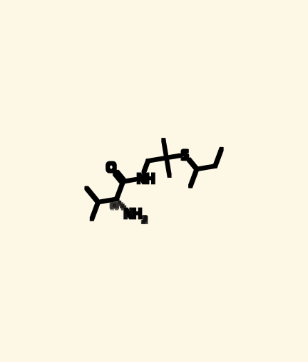 CCC(C)SC(C)(C)CNC(=O)[C@H](N)C(C)C